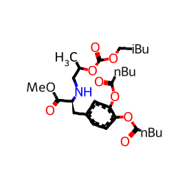 CCCCC(=O)Oc1ccc(C[C@H](NCC(C)OC(=O)OCC(C)CC)C(=O)OC)cc1OC(=O)CCCC